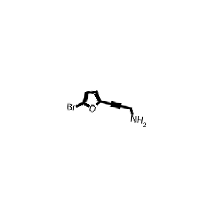 NCC#Cc1ccc(Br)o1